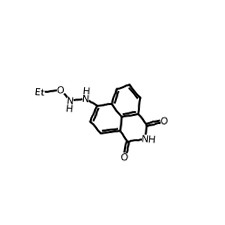 CCONNc1ccc2c3c(cccc13)C(=O)NC2=O